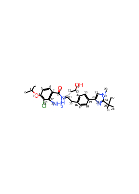 CC(C)Oc1ccc(C(=O)N[C@H](CCO)Cc2ccc(-c3cn(C)c(C(C)(C)C)n3)cc2)c(N)c1Cl